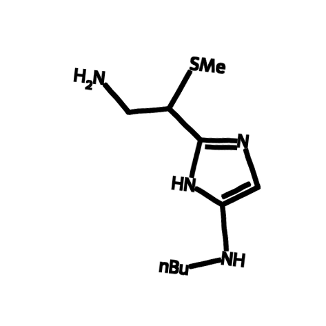 CCCCNc1cnc(C(CN)SC)[nH]1